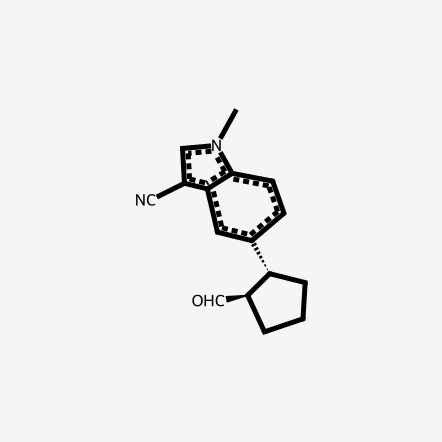 Cn1cc(C#N)c2cc([C@@H]3CCC[C@H]3C=O)ccc21